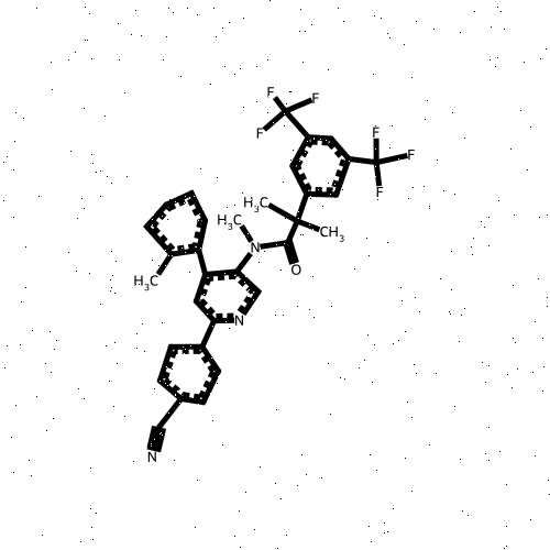 Cc1ccccc1-c1cc(-c2ccc(C#N)cc2)ncc1N(C)C(=O)C(C)(C)c1cc(C(F)(F)F)cc(C(F)(F)F)c1